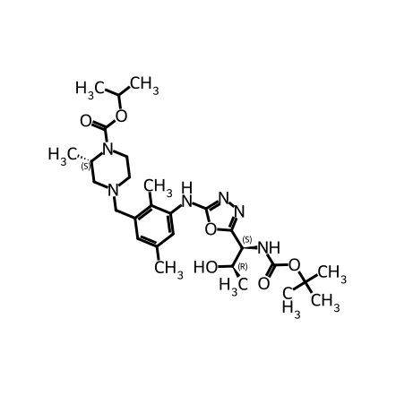 Cc1cc(CN2CCN(C(=O)OC(C)C)[C@@H](C)C2)c(C)c(Nc2nnc([C@@H](NC(=O)OC(C)(C)C)[C@@H](C)O)o2)c1